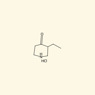 CCC1CNCCC1=O.Cl